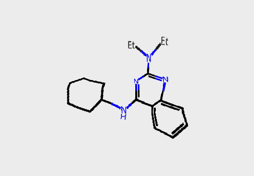 CCN(CC)c1nc(NC2CCCCC2)c2ccccc2n1